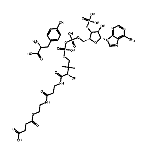 CC(C)(COP(=O)(O)OP(=O)(O)OC[C@H]1O[C@@H](n2cnc3c(N)ncnc32)[C@H](O)[C@@H]1OP(=O)(O)O)[C@@H](O)C(=O)NCCC(=O)NCCSC(=O)CCC(=O)O.N[C@@H](Cc1ccc(O)cc1)C(=O)O